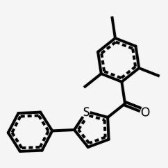 Cc1cc(C)c(C(=O)c2ccc(-c3ccccc3)s2)c(C)c1